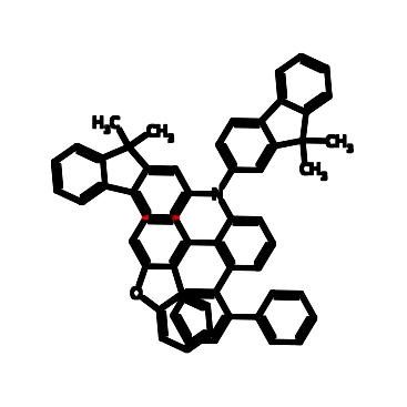 CC1(C)c2ccccc2-c2ccc(N(c3ccc4c(c3)C(C)(C)c3ccccc3-4)c3cccc(-c4ccccc4-c4ccccc4)c3-c3cccc4oc5ccccc5c34)cc21